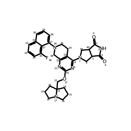 O=C1NC(=O)C2CN(c3nc(OCC45CCCN4CCC5)nc4c3CCN(c3cccc5cccc(F)c35)C4)CC12